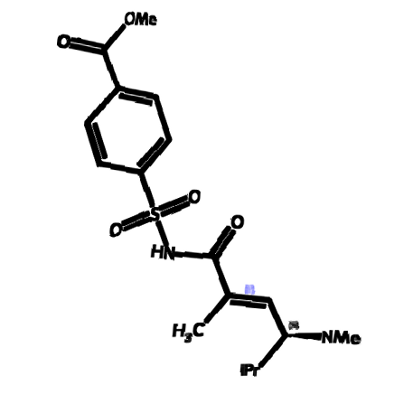 CN[C@H](/C=C(\C)C(=O)NS(=O)(=O)c1ccc(C(=O)OC)cc1)C(C)C